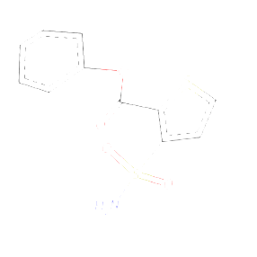 NS(=O)(=O)c1ccsc1C(=O)Oc1ccccc1